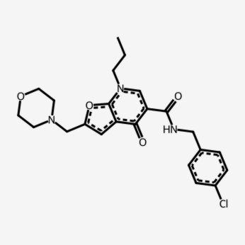 CCCn1cc(C(=O)NCc2ccc(Cl)cc2)c(=O)c2cc(CN3CCOCC3)oc21